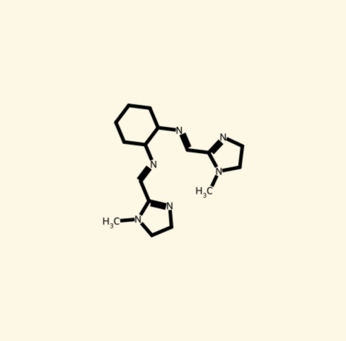 CN1CCN=C1C=NC1CCCCC1N=CC1=NCCN1C